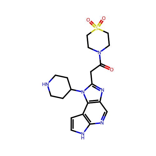 O=C(Cc1nc2cnc3[nH]ccc3c2n1C1CCNCC1)N1CCS(=O)(=O)CC1